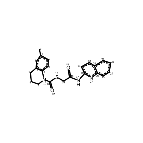 Cc1ccc2c(c1)CCCN2C(=O)SCC(=O)Nc1ccc2ccccc2n1